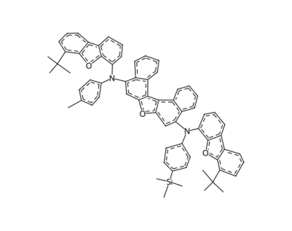 Cc1ccc(N(c2cc3oc4cc(N(c5ccc([Si](C)(C)C)cc5)c5cccc6c5oc5c(C(C)(C)C)cccc56)c5ccccc5c4c3c3ccccc23)c2cccc3c2oc2c(C(C)(C)C)cccc23)cc1